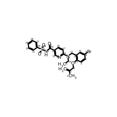 C=C(C)COc1ccc(Br)cc1CN(CC)c1ccc(C(=O)NS(=O)(=O)c2ccccc2)cn1